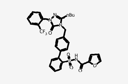 CCCCc1nn(-c2ccccc2C(F)(F)F)c(=O)n1Cc1ccc(-c2ccccc2S(=O)(=O)NC(=O)c2ccco2)cc1